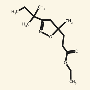 CCOC(=O)CCC1(C)CC(C(C)(C)CC)=NO1